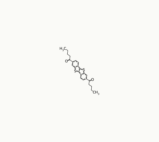 CCCCC(=O)c1ccc2c(c1)sc1c3ccc(C(=O)CCCC)cc3sc21